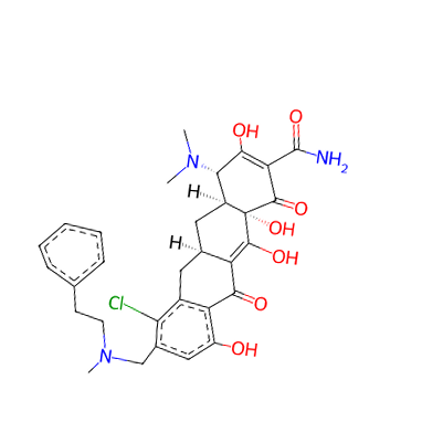 CN(CCc1ccccc1)Cc1cc(O)c2c(c1Cl)C[C@H]1C[C@H]3[C@H](N(C)C)C(O)=C(C(N)=O)C(=O)[C@@]3(O)C(O)=C1C2=O